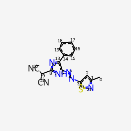 Cc1cc(/N=N/c2[nH]c(C(C#N)C#N)nc2-c2ccccc2)sn1